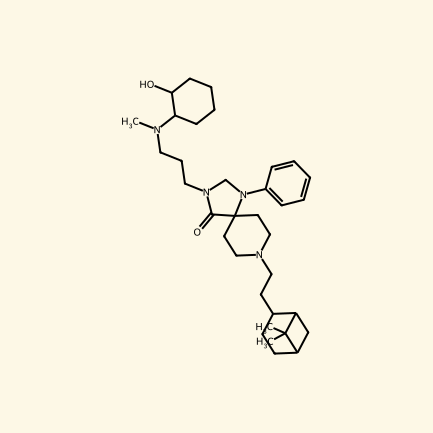 CN(CCCN1CN(c2ccccc2)C2(CCN(CCC3CCC4CC3C4(C)C)CC2)C1=O)C1CCCCC1O